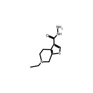 CCN1CCc2c(C(=O)NN)csc2C1